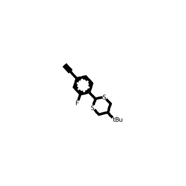 C#Cc1ccc(C2SCC(C(C)(C)C)CS2)c(F)c1